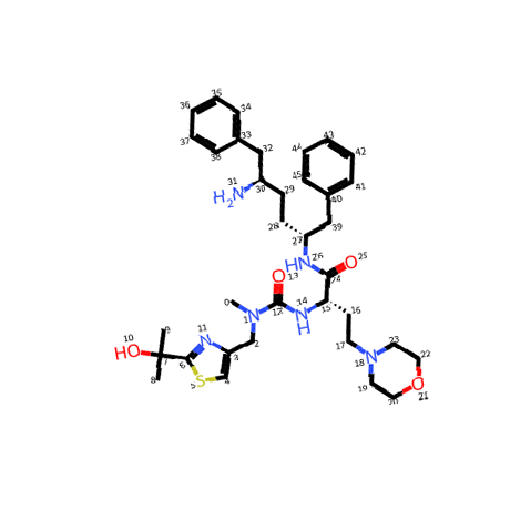 CN(Cc1csc(C(C)(C)O)n1)C(=O)N[C@@H](CCN1CCOCC1)C(=O)N[C@H](CC[C@@H](N)Cc1ccccc1)Cc1ccccc1